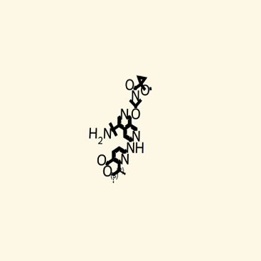 COC1(C(=O)N2CC(Oc3ncc(C(C)(C)N)c4cc(Nc5ccc6c(n5)[C@@H](C)[C@H](C)OC6=O)ncc34)C2)CC1